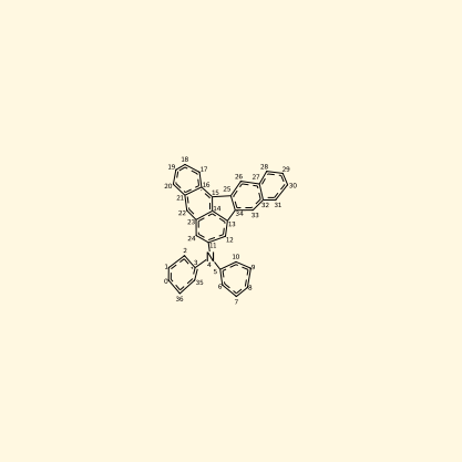 c1ccc(N(c2ccccc2)c2cc3c4c(c5ccccc5cc4c2)-c2cc4ccccc4cc2-3)cc1